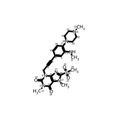 CNc1cc(C#CCn2c(=O)n(C)c(=O)c3c2nc(S(C)(=O)=O)n3C)ccc1N1CCN(C)CC1